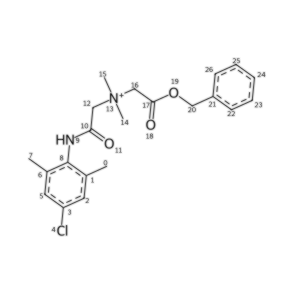 Cc1cc(Cl)cc(C)c1NC(=O)C[N+](C)(C)CC(=O)OCc1ccccc1